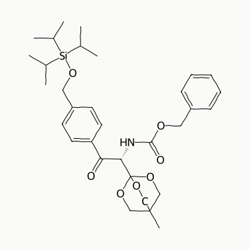 CC(C)[Si](OCc1ccc(C(=O)[C@H](NC(=O)OCc2ccccc2)C23OCC(C)(CO2)CO3)cc1)(C(C)C)C(C)C